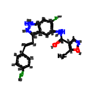 Cc1oncc1C(=O)Nc1cc2c(/C=C/c3ccc(F)cc3)n[nH]c2cc1F